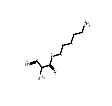 CCCCCCOC(=O)C(C)C=N